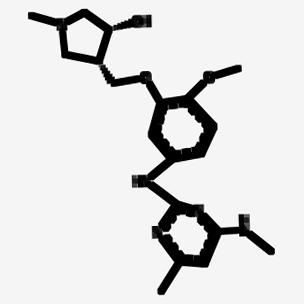 CNc1cc(C)nc(Nc2ccc(OC)c(OC[C@@H]3CN(C)C[C@@H]3O)c2)n1